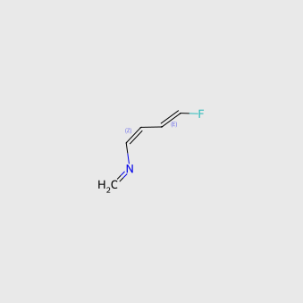 C=N/C=C\C=C\F